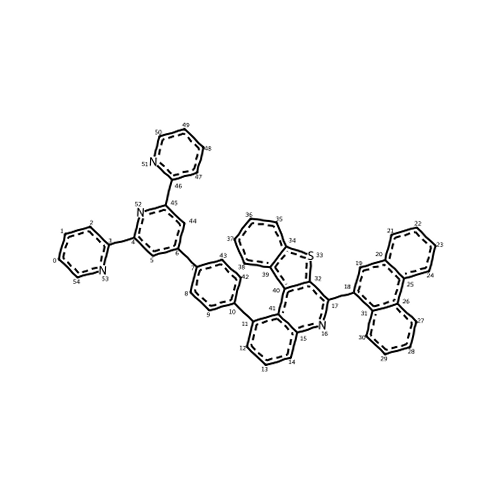 c1ccc(-c2cc(-c3ccc(-c4cccc5nc(-c6cc7ccccc7c7ccccc67)c6sc7ccccc7c6c45)cc3)cc(-c3ccccn3)n2)nc1